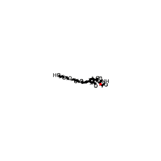 O=C1CCC(N2C(=O)c3ccc(C#CCOCCOCCOCCOCCO)cc3C2=O)C(=O)N1